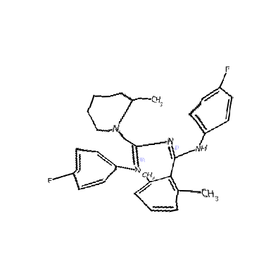 Cc1cccc(C)c1/C(=N\C(=N\c1ccc(F)cc1)N1CCCCC1C)Nc1ccc(F)cc1